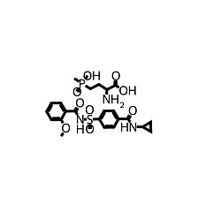 COc1ccccc1C(=O)NS(=O)(=O)c1ccc(C(=O)NC2CC2)cc1.CP(=O)(O)CCC(N)C(=O)O